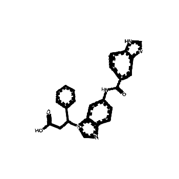 O=C(O)CC(c1ccccc1)n1cnc2ccc(NC(=O)c3ccc4[nH]cnc4c3)cc21